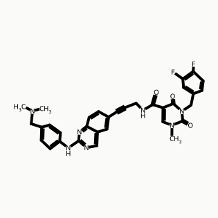 CN(C)Cc1ccc(Nc2ncc3cc(C#CCNC(=O)c4cn(C)c(=O)n(Cc5ccc(F)c(F)c5)c4=O)ccc3n2)cc1